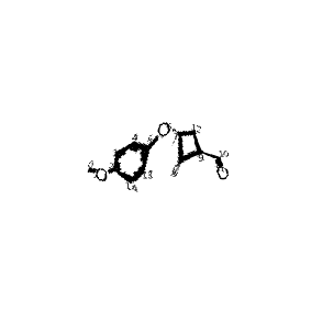 COc1ccc(O[C@H]2C[C@H](C=O)C2)cc1